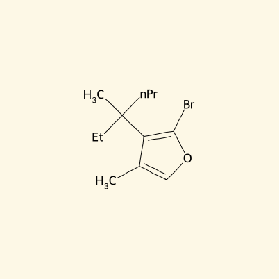 CCCC(C)(CC)c1c(C)coc1Br